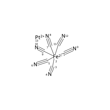 N#[C][Fe-2]([C]#N)([C]#N)([C]#N)([C]#N)[C]#N.[Pt+2]